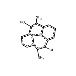 Nc1c(O)c2cccc3c(N)c(O)c4cccc1c4c32